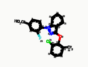 O=C(O)c1ccc(-n2nc(Oc3c(Cl)cccc3C(F)(F)F)c3ccccc32)c(F)c1